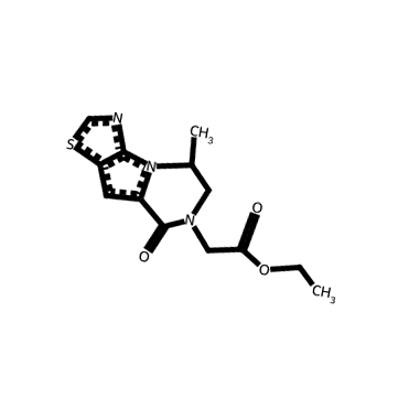 CCOC(=O)CN1CC(C)n2c(cc3scnc32)C1=O